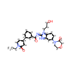 O=C(/N=c1\[nH]c2cc(N3CCOCC3=O)ccc2n1CCCO)c1cccc(-c2ccn(CC(F)(F)F)c(=O)c2)c1